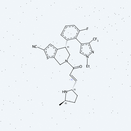 CCn1cc(-c2c(F)cccc2[C@@H]2CN(C(=O)/C=C/[C@@H]3CC[C@@H](C)N3)Cc3sc(C#N)cc32)c(C(F)(F)F)n1